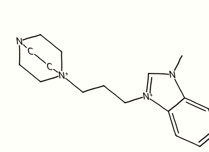 Cn1c[n+](CCC[N+]23CCN(CC2)CC3)c2ccccc21